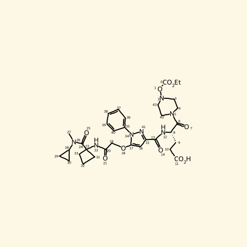 CCOC(=O)ON1CCN(C(=O)[C@H](CCC(=O)O)NC(=O)c2cc(OCC(=O)NC3(C(=O)N(C)C4CC4)CCC3)n(-c3ccccc3)n2)CC1